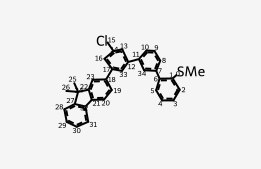 CSc1ccccc1-c1cccc(-c2cc(Cl)cc(-c3ccc4c(c3)C(C)(C)c3ccccc3-4)c2)c1